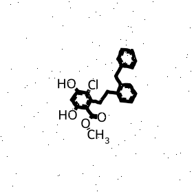 COC(=O)c1c(O)cc(O)c(Cl)c1CCc1ccccc1Cc1ccccc1